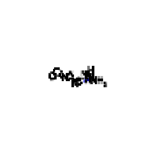 NN/N=C(\N)c1ccnc(-c2cn(CC3CCCc4ccccc43)cn2)c1